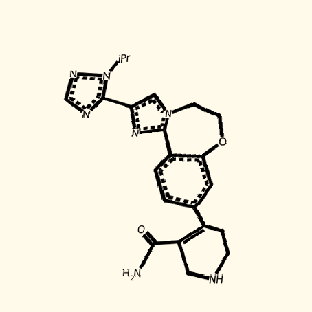 CC(C)n1ncnc1-c1cn2c(n1)-c1ccc(C3=C(C(N)=O)CNCC3)cc1OCC2